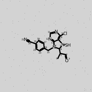 CC(C=O)C1N(S)c2c(Cl)ncnc2N1Cc1ccc(C#N)cc1